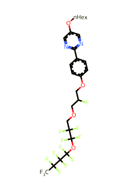 CCCCCCOc1cnc(-c2ccc(OCC(F)COCC(F)(F)C(F)(F)OC(F)(F)C(F)(F)C(F)(F)C(F)(F)F)cc2)nc1